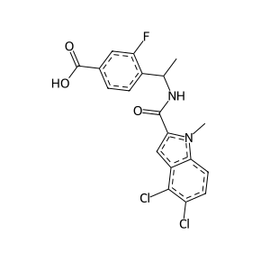 CC(NC(=O)c1cc2c(Cl)c(Cl)ccc2n1C)c1ccc(C(=O)O)cc1F